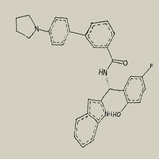 O=C(N[C@@H](c1cc2ccccc2[nH]1)c1cc(F)ccc1O)c1cccc(-c2ccc(N3CCCC3)cc2)c1